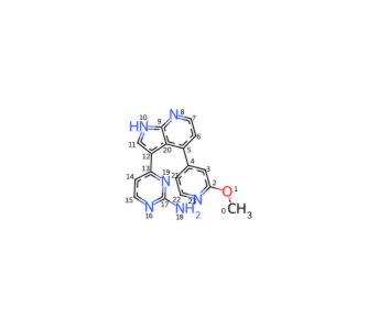 COc1cc(-c2ccnc3[nH]cc(-c4ccnc(N)n4)c23)ccn1